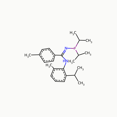 Cc1ccc(C(=NP(C(C)C)C(C)C)Nc2c(C)cccc2C(C)C)cc1